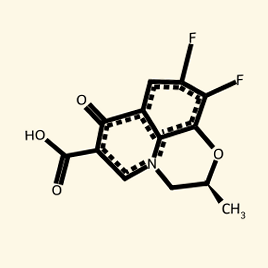 C[C@H]1Cn2cc(C(=O)O)c(=O)c3cc(F)c(F)c(c32)O1